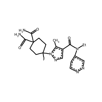 CCN(C(=O)c1cnn(C2(F)CCC(C(N)=O)(C(N)=O)CC2)c1C)c1ccnnc1